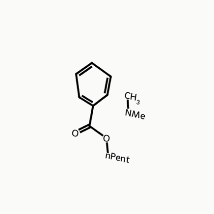 CCCCCOC(=O)c1ccccc1.CNC